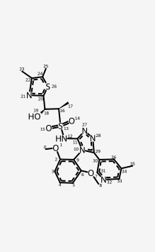 COc1cccc(OC)c1-n1c(NS(=O)(=O)[C@H](C)[C@@H](O)c2nc(C)c(C)s2)nnc1-c1cncc(C)c1